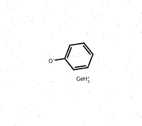 [GeH3+].[O-]c1ccccc1